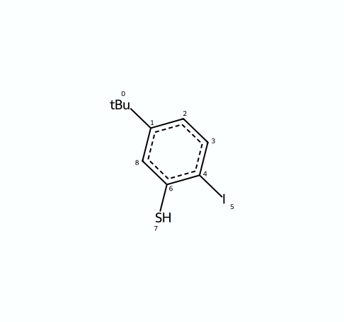 CC(C)(C)c1ccc(I)c(S)c1